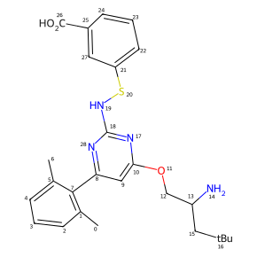 Cc1cccc(C)c1-c1cc(OCC(N)CC(C)(C)C)nc(NSc2cccc(C(=O)O)c2)n1